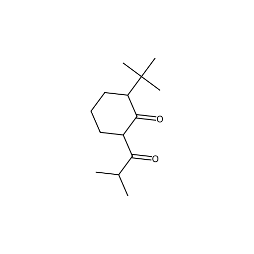 CC(C)C(=O)C1CCCC(C(C)(C)C)C1=O